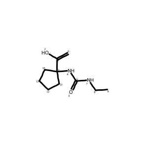 C=C(O)C1(NC(=O)NCC)CCCC1